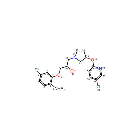 CC(=O)Nc1ccc(F)cc1OC[C@H](O)CN1CCC(Oc2ccc(Cl)cn2)C1